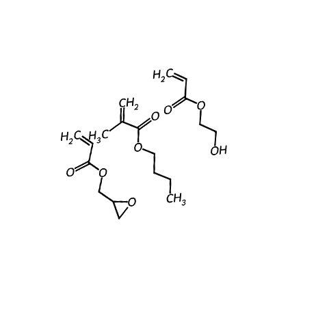 C=C(C)C(=O)OCCCC.C=CC(=O)OCC1CO1.C=CC(=O)OCCO